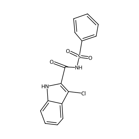 O=C(NS(=O)(=O)c1ccccc1)c1[nH]c2ccccc2c1Cl